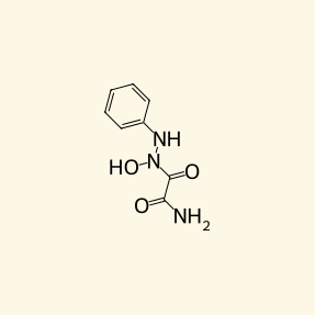 NC(=O)C(=O)N(O)Nc1ccccc1